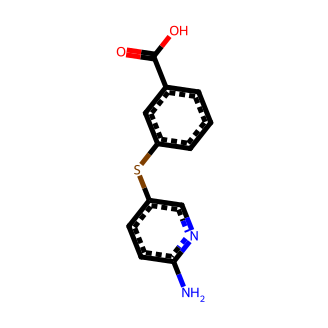 Nc1ccc(Sc2cccc(C(=O)O)c2)cn1